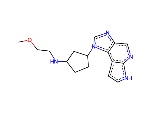 COCCNC1CCC(n2cnc3cnc4[nH]ccc4c32)C1